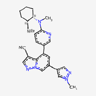 CN[C@H]1CCCC[C@@H]1N(C)c1ccc(-c2cc(-c3cnn(C)c3)cn3ncc(C#N)c23)cn1